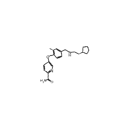 Cc1cc(CNCCC2CCCC2)ccc1Oc1ccc(C(N)=O)nc1